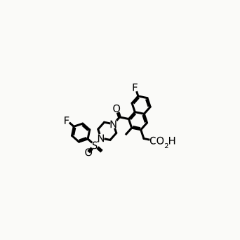 C=S(=O)(c1ccc(F)cc1)N1CCN(C(=O)c2c(C)c(CC(=O)O)cc3ccc(F)cc23)CC1